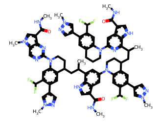 CNC(=O)c1c[nH]c2c(C(C)CC3CCN(c4ncc5c(n4)c(C(=O)NC)cn5C)c4cc(C(F)F)c(-c5cnn(C)c5)cc43)cc(N3CCC(CC(C)c4nc(N5CCCc6cc(-c7cnn(C)c7)c(C(F)F)cc65)cc5c(C(=O)NC)c[nH]c45)c4cc(-c5cnn(C)c5)c(C(F)F)cc43)cc12